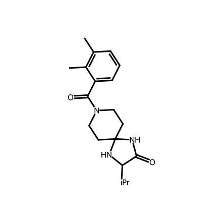 Cc1cccc(C(=O)N2CCC3(CC2)NC(=O)C(C(C)C)N3)c1C